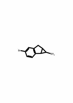 NC1C2Cc3cc(Br)ccc3C12